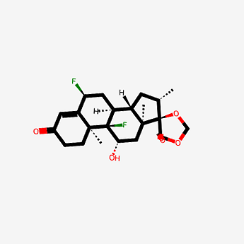 C[C@H]1C[C@H]2[C@@H]3C[C@H](F)C4=CC(=O)CC[C@]4(C)[C@@]3(F)[C@@H](O)C[C@]2(C)[C@]12OCOC21COCO1